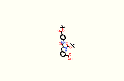 CC(C)(C)OC(=O)N[C@@H](Cc1cccc(C(=O)O)c1)C(=O)Nc1ccc(C(=O)OC(C)(C)C)cc1